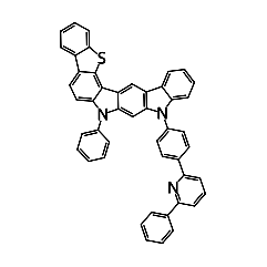 c1ccc(-c2cccc(-c3ccc(-n4c5ccccc5c5cc6c7c8sc9ccccc9c8ccc7n(-c7ccccc7)c6cc54)cc3)n2)cc1